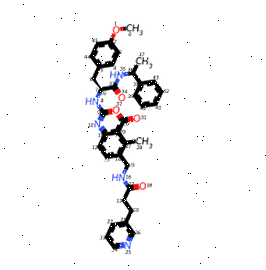 COc1ccc(C[C@H](Nc2nc3ccc(CNC(=O)CCc4cccnc4)c(C)c3c(=O)o2)C(=O)NC(C)c2ccccc2)cc1